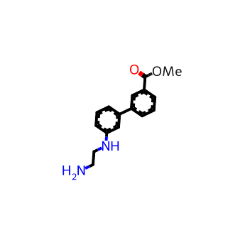 COC(=O)c1cccc(-c2cccc(NCCN)c2)c1